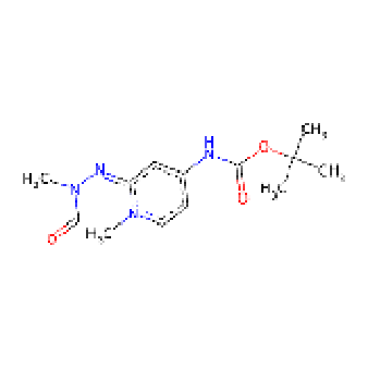 CN(C=O)/N=c1/cc(NC(=O)OC(C)(C)C)ccn1C